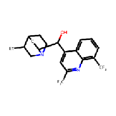 CCC1CN2CCC1CC2C(O)c1cc(C(F)(F)F)nc2c(C(F)(F)F)cccc12